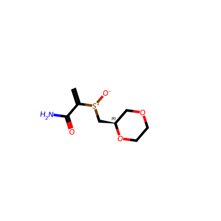 C=C(C(N)=O)[S+]([O-])C[C@H]1COCCO1